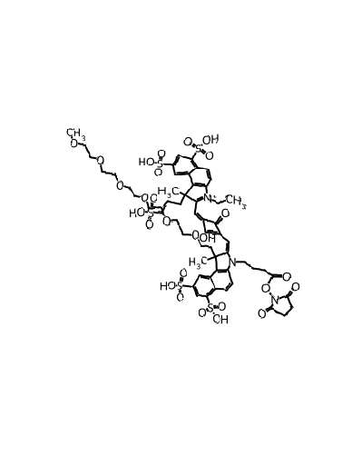 CC[N+]1=C(/C=C2\C(=O)C(/C=C3/N(CCCC(=O)ON4C(=O)CCC4=O)c4ccc5c(S(=O)(=O)O)cc(S(=O)(=O)O)cc5c4C3(C)CCOCCOCCOCCOCCOCCOC)=C2O)C(C)(CCCS(=O)(=O)O)c2c1ccc1c(S(=O)(=O)O)cc(S(=O)(=O)O)cc21